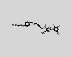 COCCOc1ccc(COCC#CCNc2oc(-c3cc(Cl)cc(Cl)c3Cl)nc2C#N)cc1